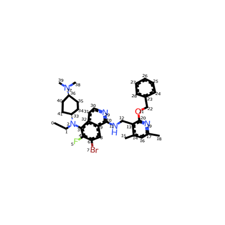 CCN(c1c(F)c(Br)cc2c(NCc3c(C)cc(C)nc3OCc3ccccc3)nccc12)[C@H]1CC[C@@H](N(C)C)CC1